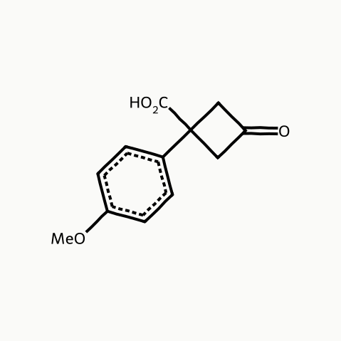 COc1ccc(C2(C(=O)O)CC(=O)C2)cc1